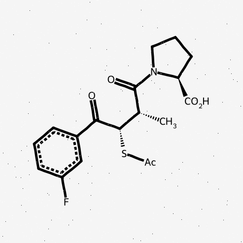 CC(=O)S[C@H](C(=O)c1cccc(F)c1)[C@@H](C)C(=O)N1CCC[C@H]1C(=O)O